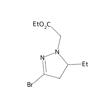 CCOC(=O)CN1N=C(Br)CC1CC